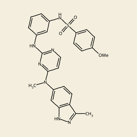 COc1ccc(S(=O)(=O)Nc2cccc(Nc3nccc(N(C)c4ccc5c(C)n[nH]c5c4)n3)c2)cc1